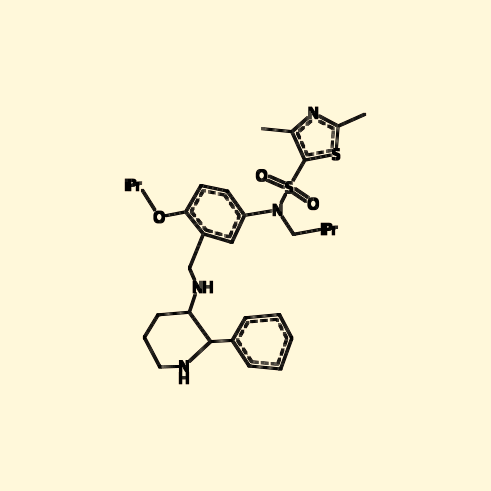 Cc1nc(C)c(S(=O)(=O)N(CC(C)C)c2ccc(OC(C)C)c(CNC3CCCNC3c3ccccc3)c2)s1